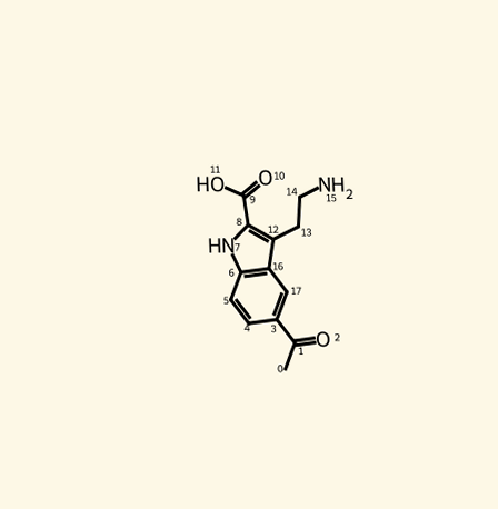 CC(=O)c1ccc2[nH]c(C(=O)O)c(CCN)c2c1